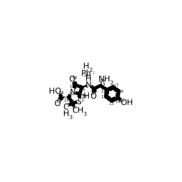 CC1(C)S[C@@H]2[C@H](NC(=O)[C@H](N)c3ccc(O)cc3)C(=O)N2[C@H]1C(=O)O.[PbH2]